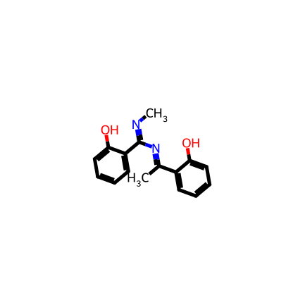 C/N=C(\N=C(/C)c1ccccc1O)c1ccccc1O